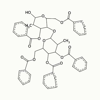 CC1C(O)OC(COC(=O)c2ccccc2)C(OC2OC(COC(=O)c3ccccc3)C(OC(=O)c3ccccc3)C(OC(=O)c3ccccc3)C2C)C1OC(=O)c1ccccc1